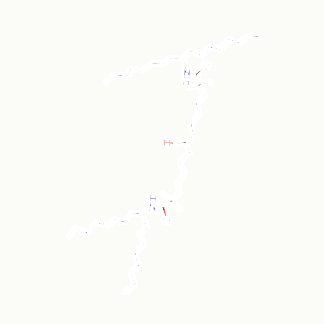 CCCCCCCCC(CCCCCCCC)NC(=O)C(C)(C)CCCCCC(O)CCCCCC(C)(C)C(=O)NC(CCCCCCCC)CCCCCCCC